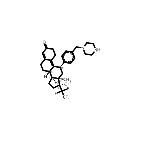 C[C@]12C[C@H](c3ccc(CN4CCNCC4)cc3)C3=C4CCC(=O)C=C4CC[C@H]3[C@@H]1CC[C@]2(O)C(F)(F)C(F)(F)F